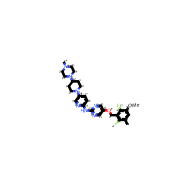 COc1cc(C)c(F)c(COc2cnc(Nc3ccc(N4CCC(N5CCN(C)CC5)CC4)cn3)nc2)c1F